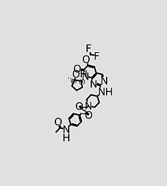 CC(=O)Nc1ccc(S(=O)(=O)N2CCC(Nc3ncc4cc(OC(F)F)c(=O)n([C@@H]5CCC[C@@]5(C)O)c4n3)CC2)cc1